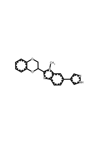 Cn1c(C2COc3ccccc3O2)nc2ccc(-c3cn[nH]c3)cc21